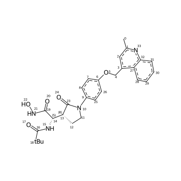 Cc1cc(COc2ccc(N3CC[C@H]([C@H](NC(=O)C(C)(C)C)C(=O)NO)C3=O)cc2)c2ccccc2n1